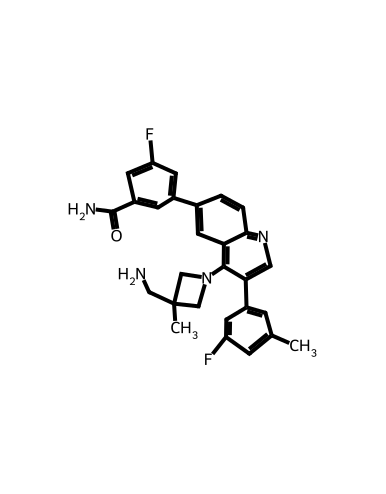 Cc1cc(F)cc(-c2cnc3ccc(-c4cc(F)cc(C(N)=O)c4)cc3c2N2CC(C)(CN)C2)c1